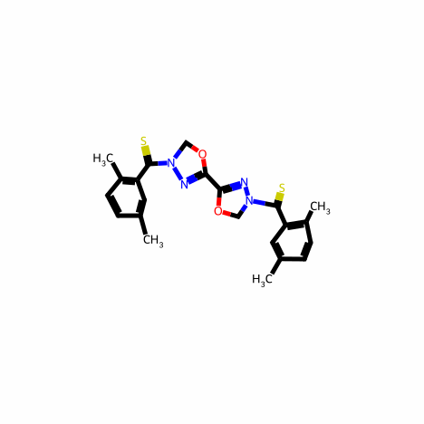 Cc1ccc(C)c(C(=S)N2COC(C3=NN(C(=S)c4cc(C)ccc4C)CO3)=N2)c1